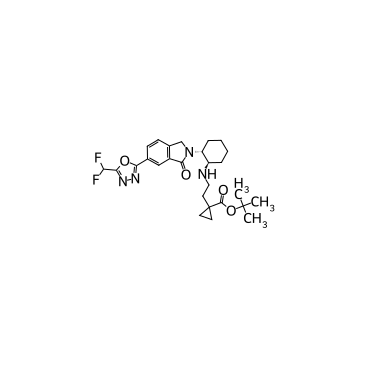 CC(C)(C)OC(=O)C1(CCN[C@@H]2CCCC[C@H]2N2Cc3ccc(-c4nnc(C(F)F)o4)cc3C2=O)CC1